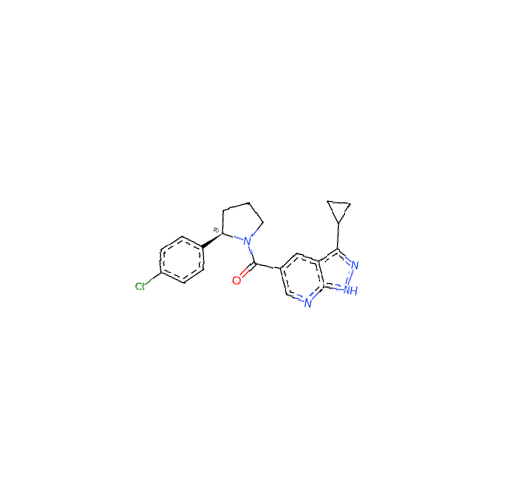 O=C(c1cnc2[nH]nc(C3CC3)c2c1)N1CCC[C@@H]1c1ccc(Cl)cc1